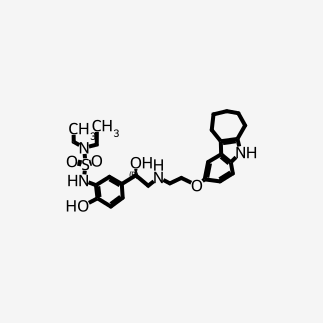 CCN(CC)S(=O)(=O)Nc1cc([C@@H](O)CNCCOc2ccc3[nH]c4c(c3c2)CCCCC4)ccc1O